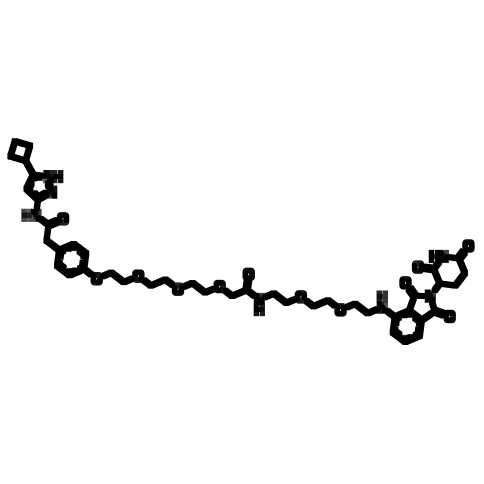 O=C(COCCOCCOCCOc1ccc(CC(=O)Nc2cc(C3CCC3)[nH]n2)cc1)NCCOCCOCCNc1cccc2c1C(=O)N(C1CCC(=O)NC1=O)C2=O